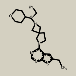 CC(C)C[C@H](C1CCOCC1)N1CC2(CCN(c3ncnc4sc(CC(F)(F)F)cc34)C2)C1